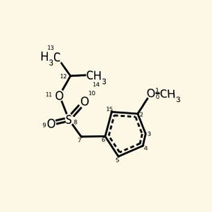 COc1cccc(CS(=O)(=O)OC(C)C)c1